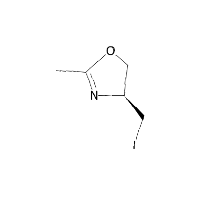 CC1=N[C@H](CI)CO1